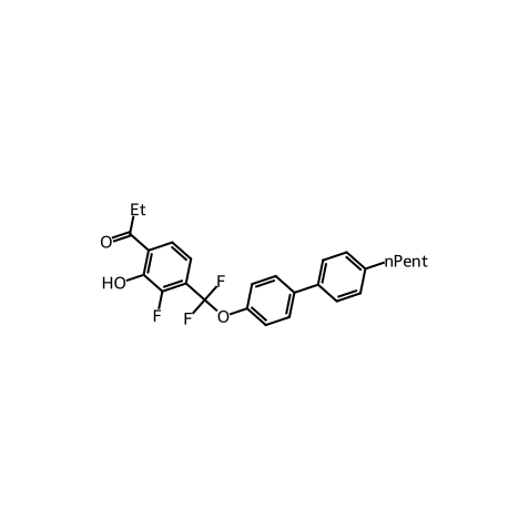 CCCCCc1ccc(-c2ccc(OC(F)(F)c3ccc(C(=O)CC)c(O)c3F)cc2)cc1